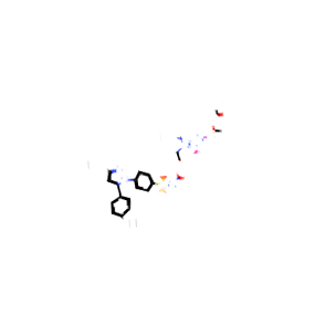 Cc1ccc(-c2cc(C(F)(F)F)nn2-c2ccc(S(=O)(=O)NC(=O)OCCN(C)[N+]([O-])=NOC(C)OC(=O)C(C)C)cc2)cc1